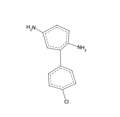 Nc1ccc(N)c(-c2ccc(Cl)cc2)c1